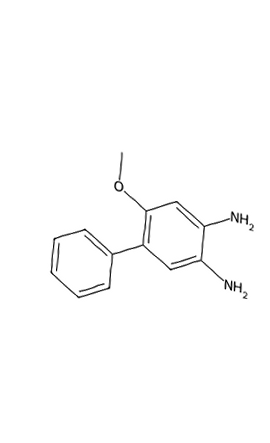 COc1cc(N)c(N)cc1-c1ccccc1